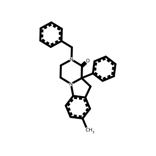 Cc1ccc2c(c1)CC1(c3ccccc3)C(=O)N(Cc3ccccc3)CCN21